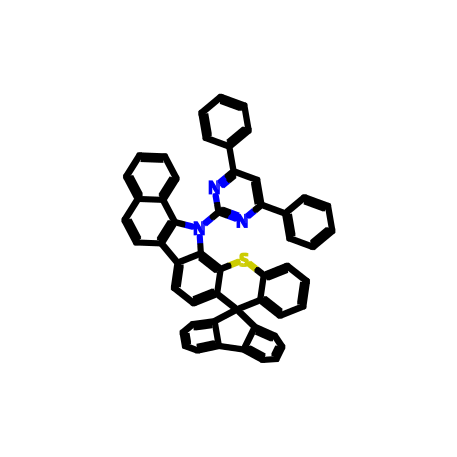 c1ccc(-c2cc(-c3ccccc3)nc(-n3c4c5c(ccc4c4ccc6ccccc6c43)C3(c4ccccc4S5)c4ccccc4-c4ccccc43)n2)cc1